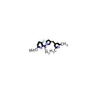 COc1ccc(F)c(C(C)N2CC[C@@H](Cc3cc(C)nc(C)c3)C2)n1